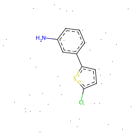 Nc1cc[c]c(-c2ccc(Cl)s2)c1